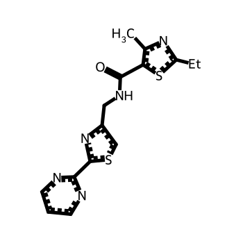 CCc1nc(C)c(C(=O)NCc2csc(-c3ncccn3)n2)s1